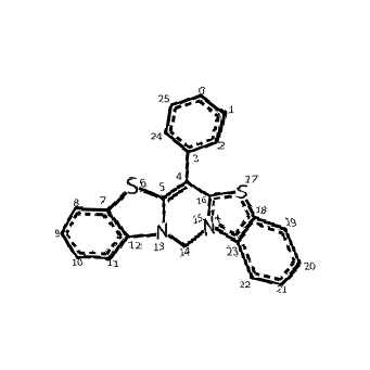 c1ccc(C2=C3Sc4ccccc4N3C[n+]3c2sc2ccccc23)cc1